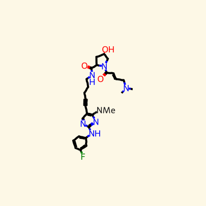 CNc1nc(Nc2cccc(F)c2)ncc1C#CCCCNC(=O)C1C[C@H](O)CN1C(=O)/C=C/CN(C)C